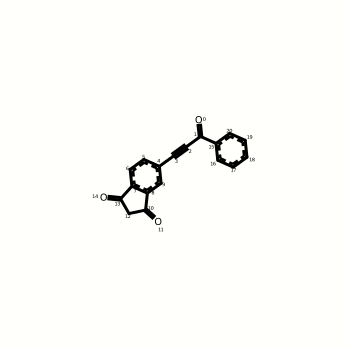 O=C(C#Cc1ccc2c(c1)C(=O)CC2=O)c1ccccc1